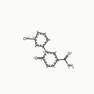 NC(=O)c1ccc(=O)n(-c2cccc(Cl)c2)c1